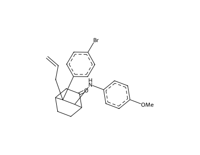 C=CCC1(c2ccc(Br)cc2)C2CCC(C(=O)C2)C1Nc1ccc(OC)cc1